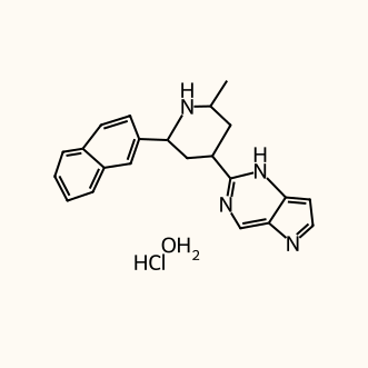 CC1CC(c2ncc3nccc-3[nH]2)CC(c2ccc3ccccc3c2)N1.Cl.O